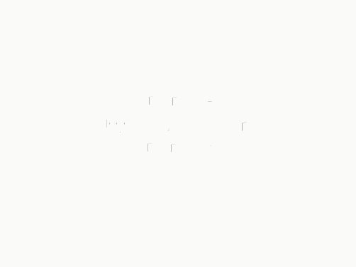 O=C(O)C(F)(F)C(F)(F)C(F)C(F)C(F)F